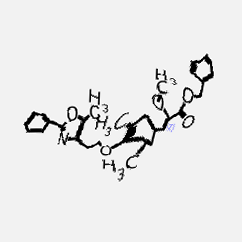 CO/C(=C\c1cc(C)c(OCCc2nc(-c3ccccc3)oc2C)c(C)c1)C(=O)OCc1ccccc1